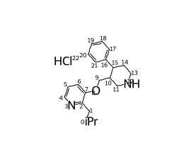 CC(C)Cc1ncccc1OCC1CNCCC1c1ccccc1.Cl